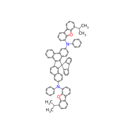 CC(C)c1cccc2c1oc1c(N(c3ccccc3)c3ccc4c5c(ccc4c3)-c3c(c4ccc(N(c6ccccc6)c6cccc7c6oc6c(C(C)C)cccc67)cc4c4ccccc34)C53c4ccccc4-c4ccccc43)cccc12